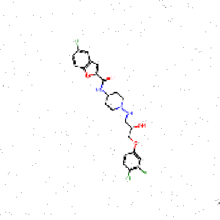 O=C(NC1CCN(NCC(O)COc2ccc(Cl)c(F)c2)CC1)c1cc2cc(Cl)ccc2o1